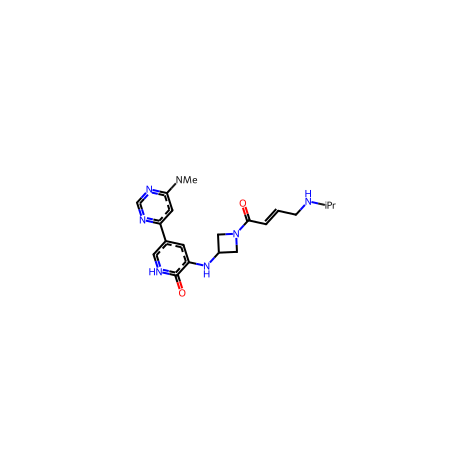 CNc1cc(-c2c[nH]c(=O)c(NC3CN(C(=O)/C=C/CNC(C)C)C3)c2)ncn1